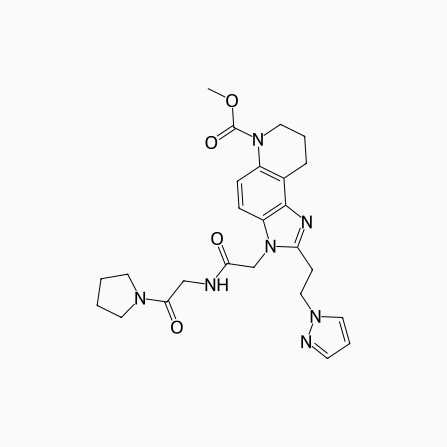 COC(=O)N1CCCc2c1ccc1c2nc(CCn2cccn2)n1CC(=O)NCC(=O)N1CCCC1